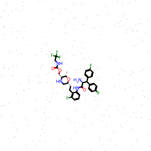 C[C@@H]1O[C@H](CCc2c(F)cccc2NC(=O)[C@@H](N)C(c2ccc(F)cc2)c2ccc(F)cc2)CN[C@@H]1COC(=O)NCC(F)(F)F